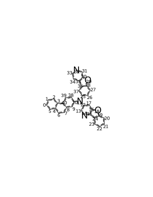 c1ccc2c(c1)ccc1cc(N(c3cnc4c(c3)oc3ccccc34)c3ccc4oc5cnccc5c4c3)ccc12